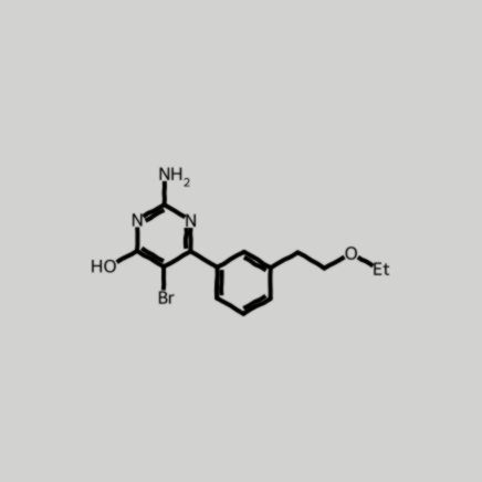 CCOCCc1cccc(-c2nc(N)nc(O)c2Br)c1